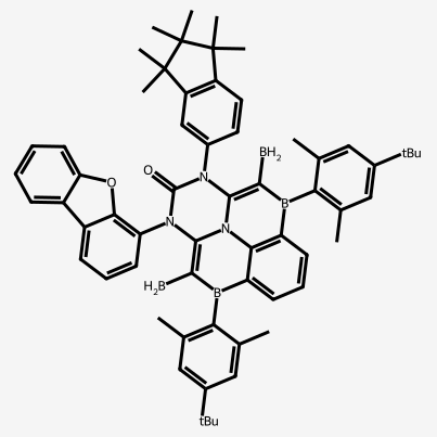 BC1=C2N(c3ccc4c(c3)C(C)(C)C(C)(C)C4(C)C)C(=O)N(c3cccc4c3oc3ccccc34)C3=C(B)B(c4c(C)cc(C(C)(C)C)cc4C)c4cccc(c4N23)B1c1c(C)cc(C(C)(C)C)cc1C